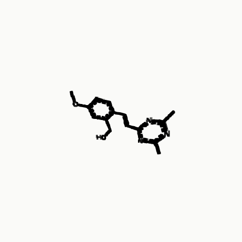 COc1ccc(/C=C/c2nc(C)nc(C)n2)c(CO)c1